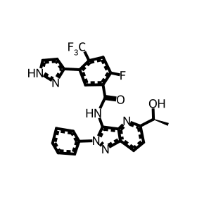 C[C@H](O)c1ccc2nn(-c3ccccc3)c(NC(=O)c3cc(-c4cc[nH]n4)c(C(F)(F)F)cc3F)c2n1